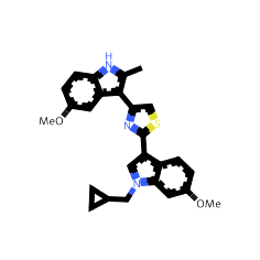 COc1ccc2[nH]c(C)c(-c3csc(-c4cn(CC5CC5)c5cc(OC)ccc45)n3)c2c1